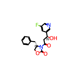 O=C(C[C@H](O)c1cncc(F)c1)N1C(=O)OC[C@@H]1Cc1ccccc1